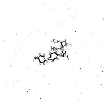 CCC1CPN1C(=O)Nc1cc(-c2ccc(F)cc2)ccc1N